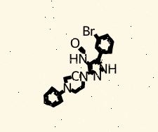 O=CNc1c(N2CCN(c3ccccc3)CC2)n[nH]c1-c1cccc(Br)c1